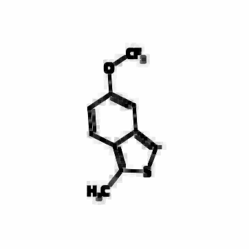 Cc1s[c]c2cc(OC(F)(F)F)ccc12